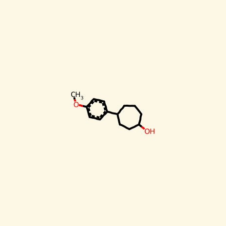 COc1ccc(C2CCCC(O)CC2)cc1